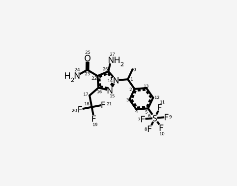 CC(c1ccc(S(F)(F)(F)(F)F)cc1)n1nc(CC(F)(F)F)c(C(N)=O)c1N